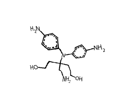 NCC(CCO)(CCO)N(c1ccc(N)cc1)c1ccc(N)cc1